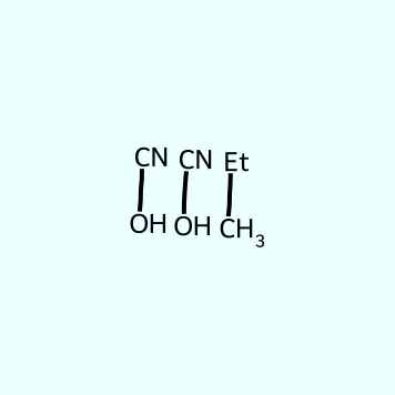 CCC.N#CO.N#CO